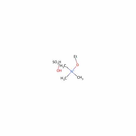 CCO[N+](C)(C)C.O=S(=O)(O)O